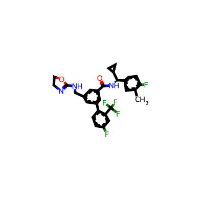 Cc1cc([C@@H](NC(=O)c2cc(CNC3=NCCO3)cc(-c3ccc(F)cc3C(F)(F)F)c2)C2CC2)ccc1F